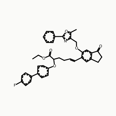 CCOC(=O)C(CCC=Cc1cc2c(cc1OCc1nc(-c3ccccc3)oc1C)C(=O)CC2)Oc1ccc(-c2ccc(F)cc2)cc1